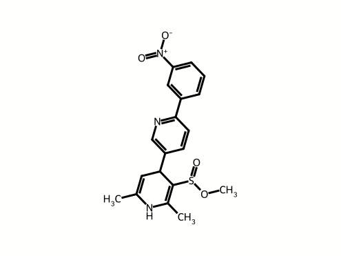 COS(=O)C1=C(C)NC(C)=CC1c1ccc(-c2cccc([N+](=O)[O-])c2)nc1